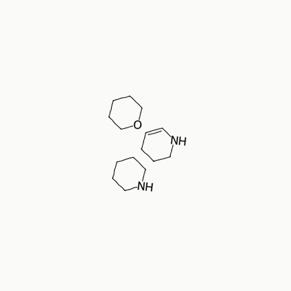 C1=CNCCC1.C1CCNCC1.C1CCOCC1